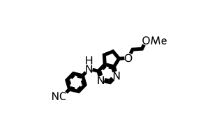 COCCOC1CCc2c(Nc3ccc(C#N)cc3)ncnc21